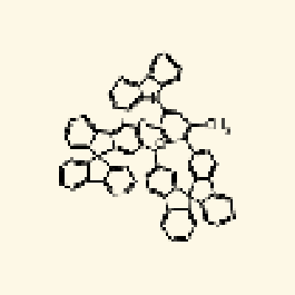 Cc1cc(-n2c3ccccc3c3ccccc32)c(C)cc1-c1ccc2c(c1)C1(c3ccccc3-c3ccc(C(=O)c4ccc5c(c4)C4(c6ccccc6-c6ccccc64)c4ccccc4-5)cc31)c1ccccc1-2